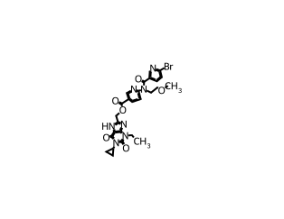 CCn1c(=O)n(C2CC2)c(=O)c2[nH]c(COC(=O)c3ccc(N(CCOC)C(=O)c4ccc(Br)nc4)nc3)nc21